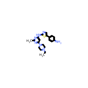 CCN1CCN(c2cc(Nc3ncc(-c4ccc(N)cc4)s3)nc(C)n2)CC1